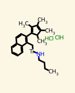 CCCC[NH][Ti][CH2]c1c(C2=C(C)C(C)=C(C)C2C)ccc2ccccc12.Cl.Cl